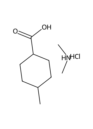 CC1CCC(C(=O)O)CC1.CNC.Cl